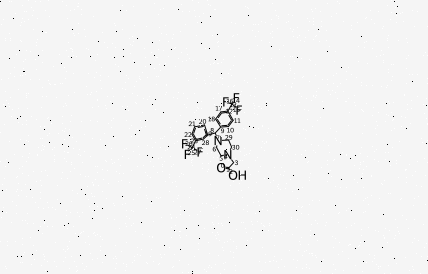 O=C(O)CN1CCN(C(c2ccc(C(F)(F)F)cc2)c2cccc(C(F)(F)F)c2)CC1